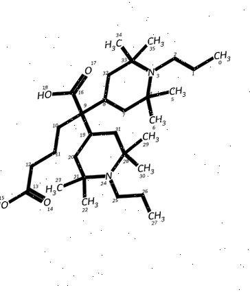 CCCN1C(C)(C)CC(C(CCCC(=O)O)(C(=O)O)C2CC(C)(C)N(CCC)C(C)(C)C2)CC1(C)C